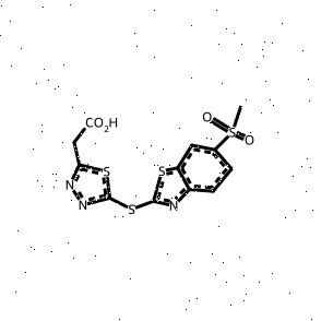 CS(=O)(=O)c1ccc2nc(Sc3nnc(CC(=O)O)s3)sc2c1